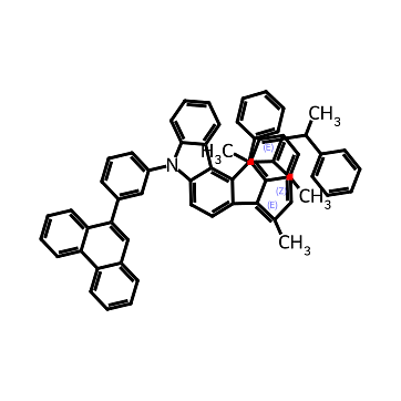 CC1=C(/c2ccccc2C)c2ccc3c(c2C(C)(c2ccccc2)C(=C/C(C)c2ccccc2)/C=C\1)c1ccccc1n3-c1cccc(-c2cc3ccccc3c3ccccc23)c1